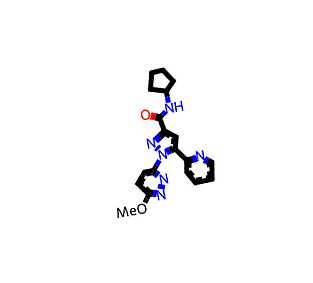 COc1ccc(-n2nc(C(=O)NC3CCCC3)cc2-c2ccccn2)nn1